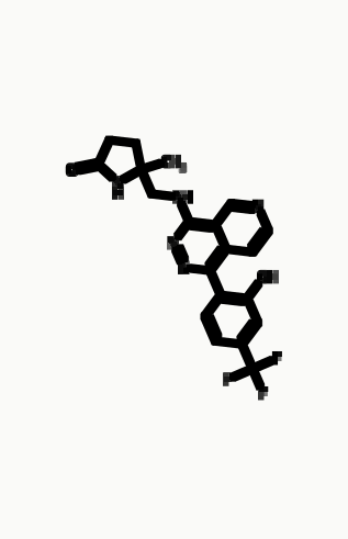 CC1(CNc2nnc(-c3ccc(C(F)(F)F)cc3O)c3ccncc23)CCC(=O)N1